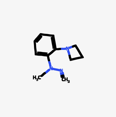 C=NN(C)c1ccccc1N1CCC1